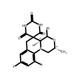 CC(C)C1O[C@H](C)CN2c3c(F)cc(F)cc3CC3(C(=O)NC(=O)NC3=O)[C@@H]12